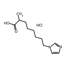 CC(CCCCCCn1ccnc1)C(=O)O.Cl